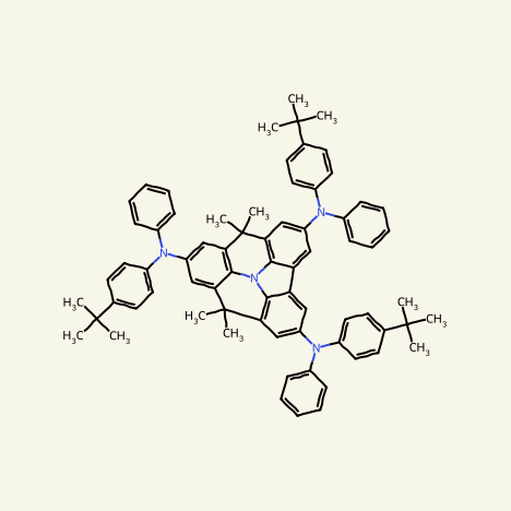 CC(C)(C)c1ccc(N(c2ccccc2)c2cc3c4c(c2)C(C)(C)c2cc(N(c5ccccc5)c5ccc(C(C)(C)C)cc5)cc5c6cc(N(c7ccccc7)c7ccc(C(C)(C)C)cc7)cc(c6n-4c25)C3(C)C)cc1